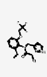 CCc1cccc(OCC(F)(F)F)c1N(Cc1cc[nH]n1)C(=O)CCl